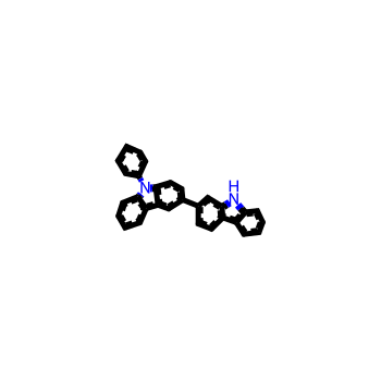 c1ccc(-n2c3ccccc3c3cc(-c4ccc5c(c4)[nH]c4ccccc45)ccc32)cc1